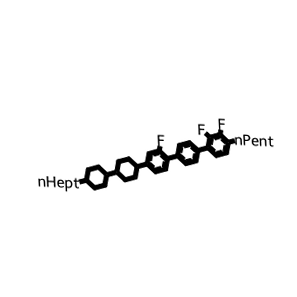 CCCCCCCC1CCC(C2CCC(c3ccc(-c4ccc(-c5ccc(CCCCC)c(F)c5F)cc4)c(F)c3)CC2)CC1